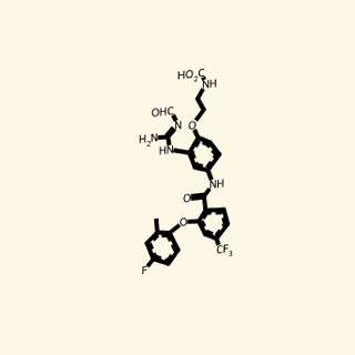 Cc1cc(F)ccc1Oc1cc(C(F)(F)F)ccc1C(=O)Nc1ccc(OCCNC(=O)O)c(NC(N)=NC=O)c1